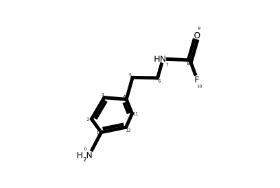 Nc1ccc(CCNC(=O)F)cc1